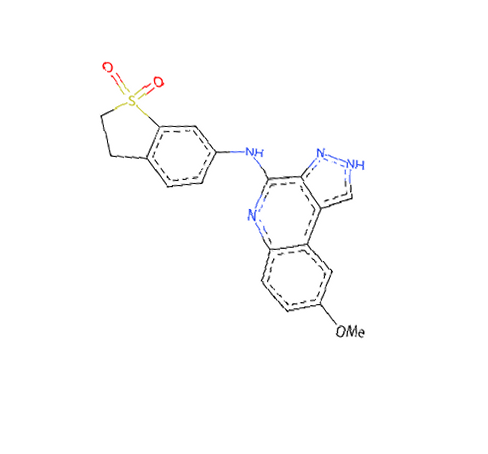 COc1ccc2nc(Nc3ccc4c(c3)S(=O)(=O)CC4)c3n[nH]cc3c2c1